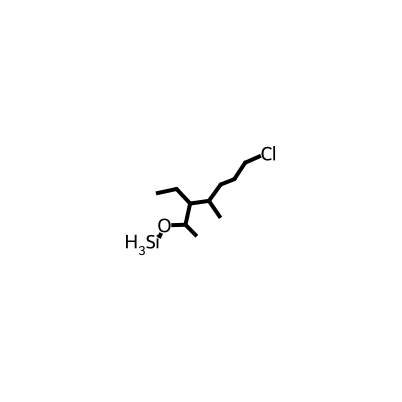 CCC(C(C)CCCCl)C(C)O[SiH3]